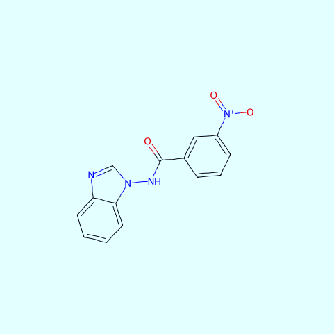 O=C(Nn1cnc2ccccc21)c1cccc([N+](=O)[O-])c1